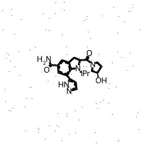 CC(C)N1c2c(cc(C(N)=O)cc2-c2ccn[nH]2)CC1C(=O)N1CC[C@@H](O)C1